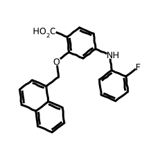 O=C(O)c1ccc(Nc2ccccc2F)cc1OCc1cccc2ccccc12